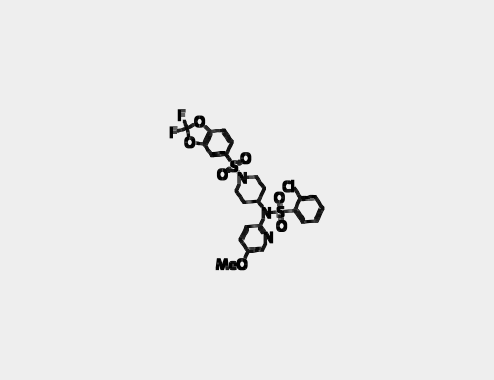 COc1ccc(N(C2CCN(S(=O)(=O)c3ccc4c(c3)OC(F)(F)O4)CC2)S(=O)(=O)c2ccccc2Cl)nc1